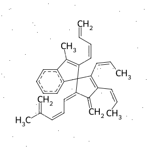 C=C/C=C\C1=C(C)c2ccccc2C12C(/C=C\C)=C(/C=C\C)C(=C)/C2=C\C=C/C(=C)C